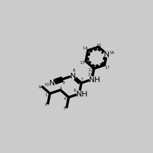 CC(C)CC(C)NC(=NC#N)Nc1cccnc1